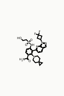 NC(=O)c1ccc(NS(=O)(=O)CCO)c(-c2ccc3cnn(C4CC(F)(F)C4)c3n2)c1N1CCC2(CC1)CC2